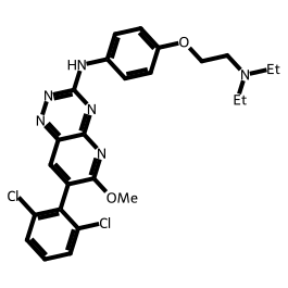 CCN(CC)CCOc1ccc(Nc2nnc3cc(-c4c(Cl)cccc4Cl)c(OC)nc3n2)cc1